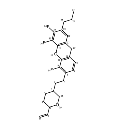 C=CC1CCC(CCc2ccc3c(c2F)Oc2c(cc(CCC)c(F)c2F)C3)CO1